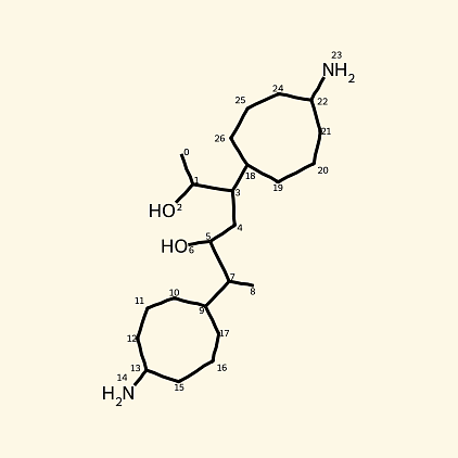 CC(O)C(CC(O)C(C)C1CCCC(N)CCC1)C1CCCC(N)CCC1